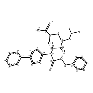 CC(C)CN(CC(O)C(=O)O)C(=O)NC(C(=O)OCc1ccccc1)c1ccc(-c2ccccc2)cc1